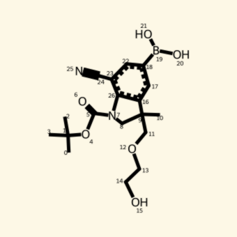 CC(C)(C)OC(=O)N1CC(C)(COCCO)c2cc(B(O)O)cc(C#N)c21